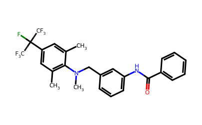 Cc1cc(C(F)(C(F)(F)F)C(F)(F)F)cc(C)c1N(C)Cc1cccc(NC(=O)c2ccccc2)c1